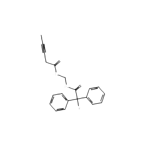 CC#CCC(=O)NCNC(=O)C(c1ccccc1)(c1ccccc1)C(C)C